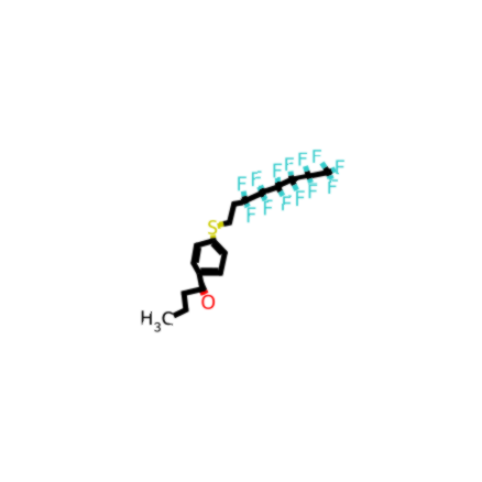 CCCC(=O)c1ccc(SCCC(F)(F)C(F)(F)C(F)(F)C(F)(F)C(F)(F)C(F)(F)F)cc1